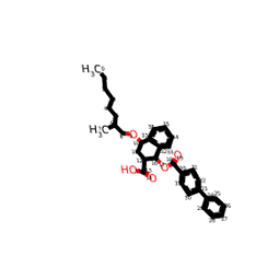 CCCCCCC(C)COC1CC(C(=O)O)C(OC(=O)c2ccc(-c3ccccc3)cc2)c2ccccc21